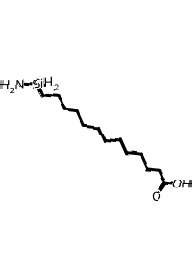 N[SiH2]CCCCCCCCCCCCC(=O)O